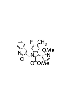 COC(=O)c1c(-c2cccnc2OC)c2cc(C)c(F)cc2n1Cc1cc2ccccc2nc1Cl